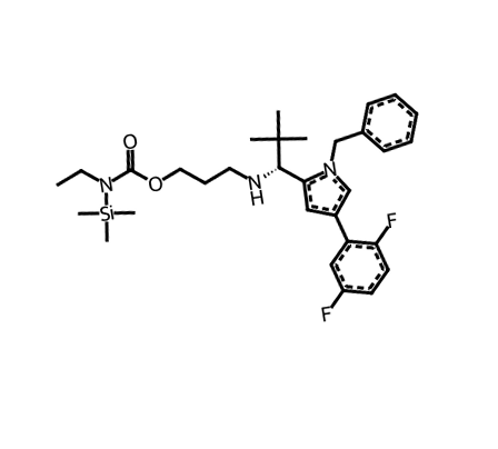 CCN(C(=O)OCCCN[C@@H](c1cc(-c2cc(F)ccc2F)cn1Cc1ccccc1)C(C)(C)C)[Si](C)(C)C